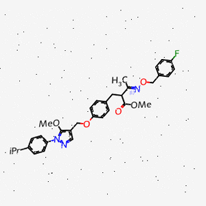 COC(=O)C(Cc1ccc(OCc2cnn(-c3ccc(C(C)C)cc3)c2OC)cc1)/C(C)=N/OCc1ccc(F)cc1